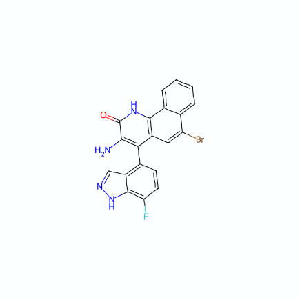 Nc1c(-c2ccc(F)c3[nH]ncc23)c2cc(Br)c3ccccc3c2[nH]c1=O